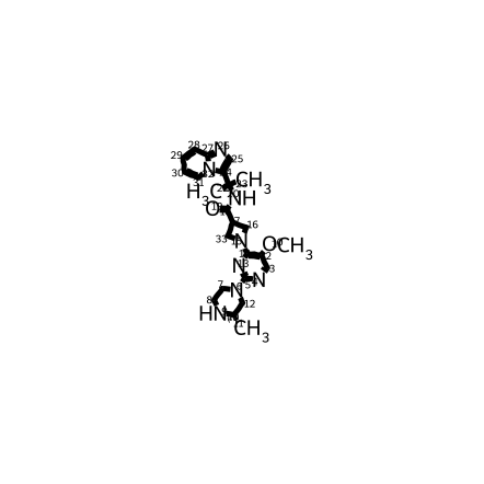 COc1cnc(N2CCN[C@H](C)C2)nc1N1CC(C(=O)NC(C)(C)c2cnc3ccccn23)C1